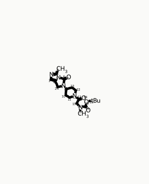 Cc1ncc2n1C(=O)N(C1CCN(C(=O)CN(C)C(=O)OC(C)(C)C)CC1)C2